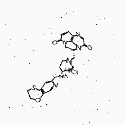 Cl.O=c1ccc2ncc(=O)n3c2n1C[C@H]3CN1CCC(NCc2cc3c(cn2)OCCS3)CC1